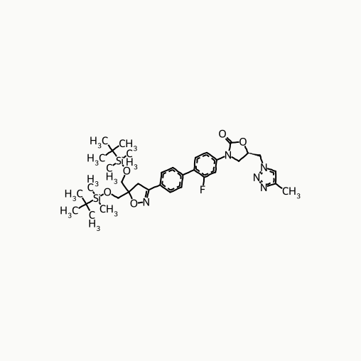 Cc1cn(C[C@H]2CN(c3ccc(-c4ccc(C5=NOC(CO[Si](C)(C)C(C)(C)C)(CO[Si](C)(C)C(C)(C)C)C5)cc4)c(F)c3)C(=O)O2)nn1